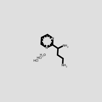 Cl.Cl.NCCC(N)c1ncccn1.O